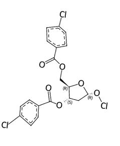 O=C(OC[C@H]1O[C@H](OCl)C[C@@H]1OC(=O)c1ccc(Cl)cc1)c1ccc(Cl)cc1